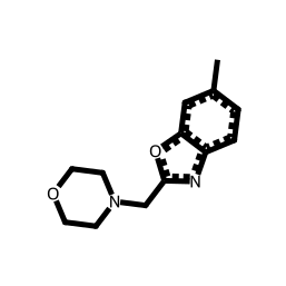 Cc1ccc2nc(CN3CCOCC3)oc2c1